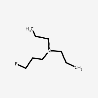 CCCN(CCC)CCCF